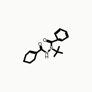 CC(C)(C)N(NC(=O)C1=CCCCC1)C(=O)c1ccccc1